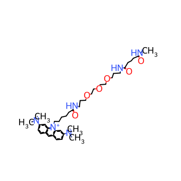 CNC(=O)CCCC(=O)NCCCOCCOCCOCCCNC(=O)CCCCC[n+]1c2cc(N(C)C)ccc2cc2ccc(N(C)C)cc21